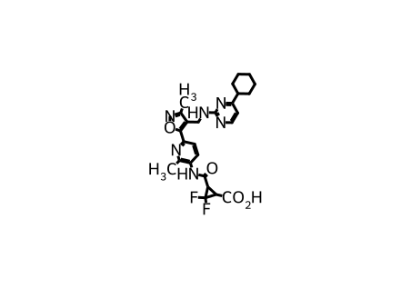 Cc1nc(-c2onc(C)c2CNc2nccc(C3CCCCC3)n2)ccc1NC(=O)C1C(C(=O)O)C1(F)F